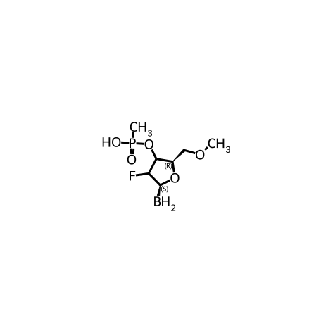 B[C@@H]1O[C@H](COC)C(OP(C)(=O)O)C1F